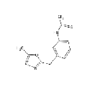 Cc1cnc(Cc2cccc(NC(=O)C(F)(F)F)c2)o1